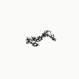 Cc1cc(CCC2(C(=O)OCc3ccccc3)CC2)ncc1-c1ccc(-c2nc(OC(C)C)n(COCC[SH](C)(C)(C)C)n2)nc1